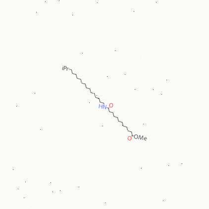 COC(=O)CCCCCCCCCCC(=O)NCCCCCCCCCCCCCCCC(C)C